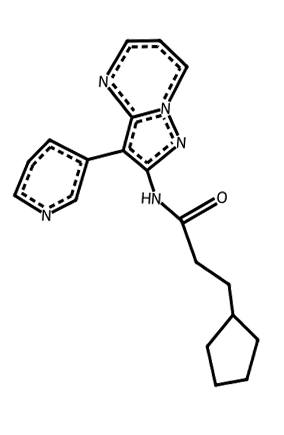 O=C(CCC1CCCC1)Nc1nn2cccnc2c1-c1cccnc1